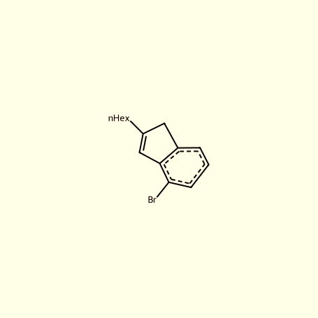 CCCCCCC1=Cc2c(Br)cccc2C1